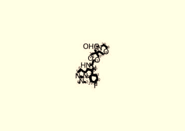 CN(C)c1nccc(-c2[nH]c(C3OCC(C)(C4COCCN4C=O)CO3)nc2-c2ccc(F)cc2)n1